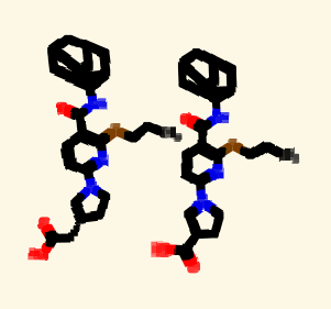 CCCSc1nc(N2CC[C@@H](C(=O)O)C2)ccc1C(=O)NC1C2CC3CC(C2)CC1C3.CCCSc1nc(N2CC[C@H](CC(=O)O)C2)ccc1C(=O)NC1C2CC3CC(C2)CC1C3